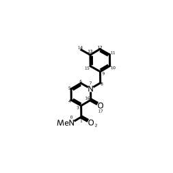 CNC(=O)c1cccn(Cc2cccc(C)c2)c1=O